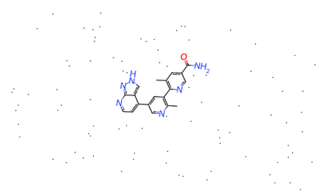 Cc1cc(C(N)=O)cnc1-c1cc(-c2ccnc3n[nH]cc23)cnc1C